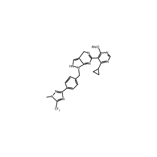 COc1ncnc(C2CC2)c1C1=NCC2=CNN(Cc3ccc(-c4nc(C(F)(F)F)n(C)n4)cc3)C2=N1